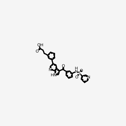 O=C(O)CCc1cccc(-c2cnc3[nH]cc(C(=O)c4cccc(NS(=O)(=O)c5cccnc5)c4)c3c2)c1